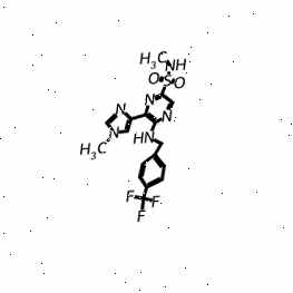 CNS(=O)(=O)c1cnc(NCc2ccc(C(F)(F)F)cc2)c(-c2cn(C)cn2)n1